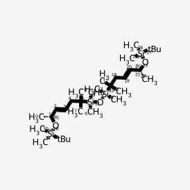 C[C@H](C=CCC(C)(C)[Si](C)(C)O[Si](C)(C)C(C)(C)CC=C[C@@H](C)O[Si](C)(C)C(C)(C)C)O[Si](C)(C)C(C)(C)C